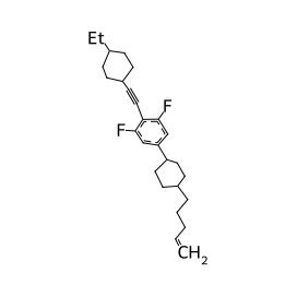 C=CCCCC1CCC(c2cc(F)c(C#CC3CCC(CC)CC3)c(F)c2)CC1